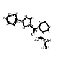 O=C(NO)[C@H]1C[CH]CC[C@@H]1C(=O)N1CC[C@H](c2ccccc2)C1